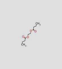 CCCC(=O)OCCOC(=O)CCC